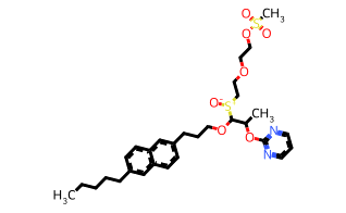 CCCCCc1ccc2cc(CCCOC(C(C)Oc3ncccn3)[S+]([O-])CCOCCOS(C)(=O)=O)ccc2c1